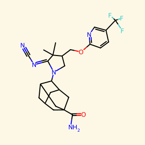 CC1(C)C(=NC#N)N(C2C3CC4CC2CC(C(N)=O)(C4)C3)CC1COc1ccc(C(F)(F)F)cn1